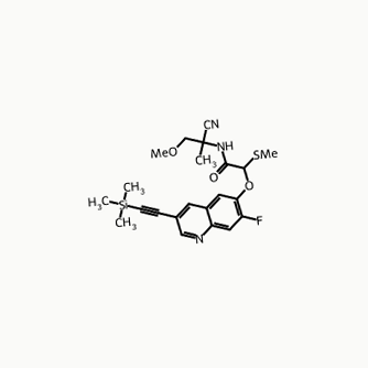 COCC(C)(C#N)NC(=O)C(Oc1cc2cc(C#C[Si](C)(C)C)cnc2cc1F)SC